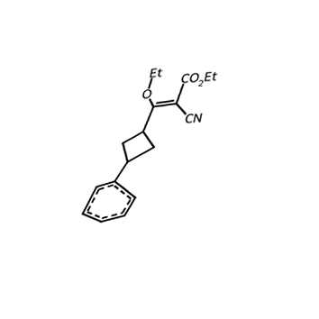 CCOC(=O)C(C#N)=C(OCC)C1CC(c2ccccc2)C1